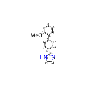 COc1ccccc1-c1ccc(C2=NCCN2)cc1